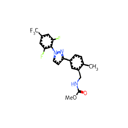 COC(=O)NCc1cc(-c2ccn(-c3c(F)cc(C(F)(F)F)cc3F)n2)ccc1C